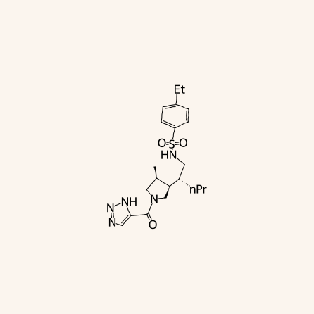 CCC[C@@H](CNS(=O)(=O)c1ccc(CC)cc1)[C@H]1CN(C(=O)c2cnn[nH]2)C[C@H]1C